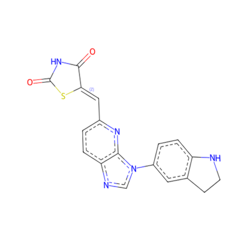 O=C1NC(=O)/C(=C/c2ccc3ncn(-c4ccc5c(c4)CCN5)c3n2)S1